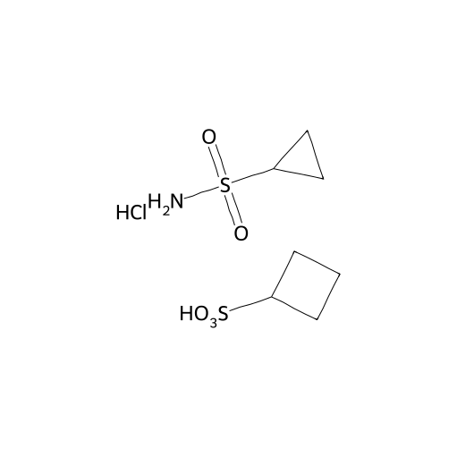 Cl.NS(=O)(=O)C1CC1.O=S(=O)(O)C1CCC1